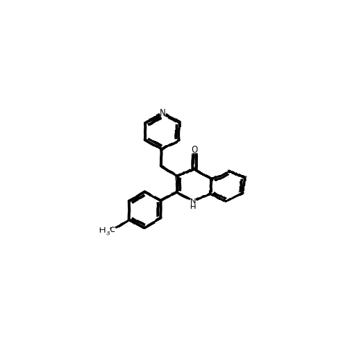 Cc1ccc(-c2[nH]c3ccccc3c(=O)c2Cc2ccncc2)cc1